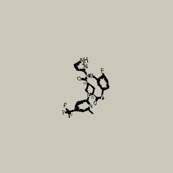 Cc1cc(C(F)(F)F)cc(N2C[C@@H](C(=O)Nc3cc[nH]n3)C[C@H]2C(=O)N(C)c2ccc(F)c(Cl)c2)n1